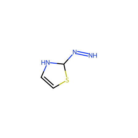 N=NC1NC=CS1